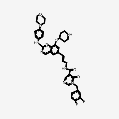 O=C(NCC=Cc1cc(OC2CCNCC2)c2nc(Nc3ccc(N4CCOCC4)cc3)ncc2c1)c1cncn(Cc2ccc(F)c(F)c2)c1=O